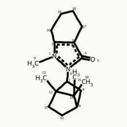 Cn1c2c(c(=O)n1C1CC3CCC1(C)C3(C)C)CCCC2